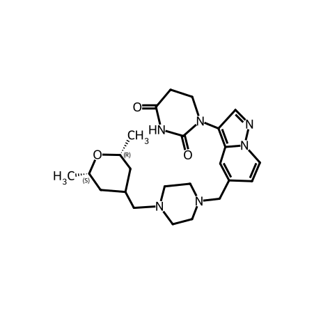 C[C@@H]1CC(CN2CCN(Cc3ccn4ncc(N5CCC(=O)NC5=O)c4c3)CC2)C[C@H](C)O1